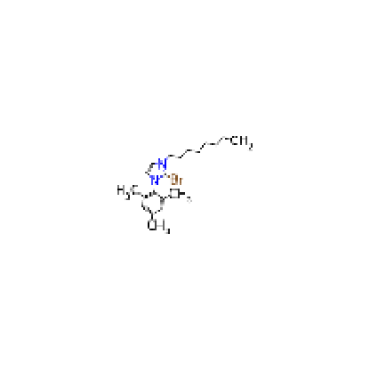 C=CCCCCCCN1C=CN(c2c(C)cc(C)cc2C)C1Br